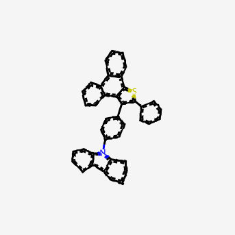 c1ccc(-c2sc3c4ccccc4c4ccccc4c3c2-c2ccc(-n3c4ccccc4c4ccccc43)cc2)cc1